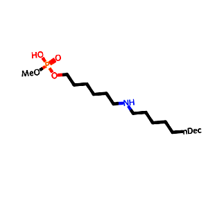 CCCCCCCCCCCCCCCNCCCCCCOP(=O)(O)OC